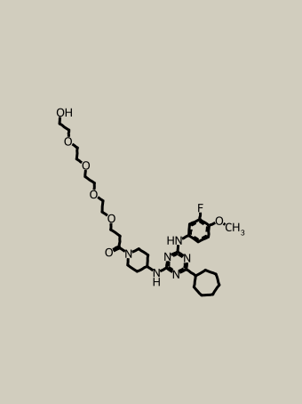 COc1ccc(Nc2nc(NC3CCN(C(=O)CCOCCOCCOCCOCCO)CC3)nc(C3CCCCCC3)n2)cc1F